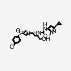 Cn1nc(C2CC2)cc1NC(=O)NC(CO)CCN1CC([S@+]([O-])c2ccc(Cl)cc2)C1